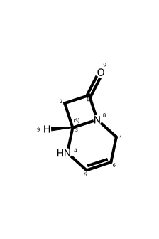 O=C1C[C@H]2NC=CCN12